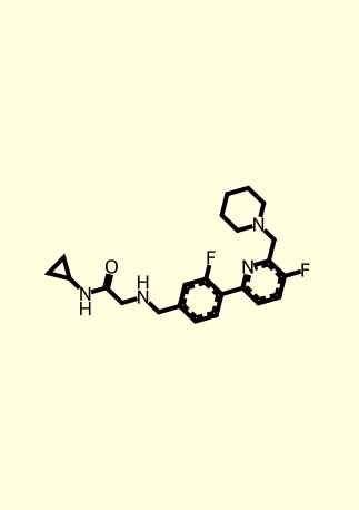 O=C(CNCc1ccc(-c2ccc(F)c(CN3CCCCC3)n2)c(F)c1)NC1CC1